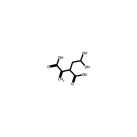 C=C(C(=O)O)C(CC(O)O)C(=O)O